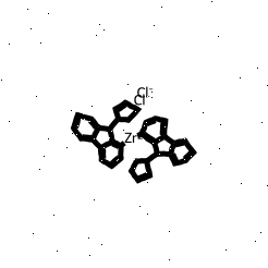 C1=CC(C2c3ccccc3-c3ccc[c]([Zr+2][c]4cccc5c4C(C4C=CCC4)c4ccccc4-5)c32)CC1.[Cl-].[Cl-]